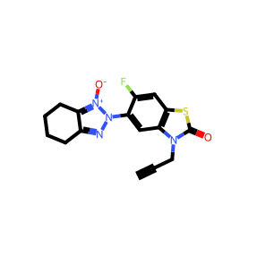 C#CCn1c(=O)sc2cc(F)c(-n3nc4c([n+]3[O-])CCCC4)cc21